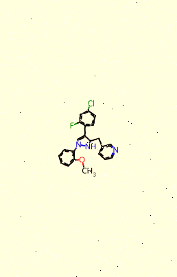 COc1ccccc1N1C=C(c2ccc(Cl)cc2F)C(Cc2cccnc2)N1